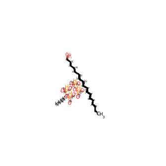 CCCCCCCCCCCCCCCCCCO.O=[PH]([O-])O[PH](=O)[O-].O=[PH]([O-])O[PH](=O)[O-].[K+].[K+].[K+].[K+]